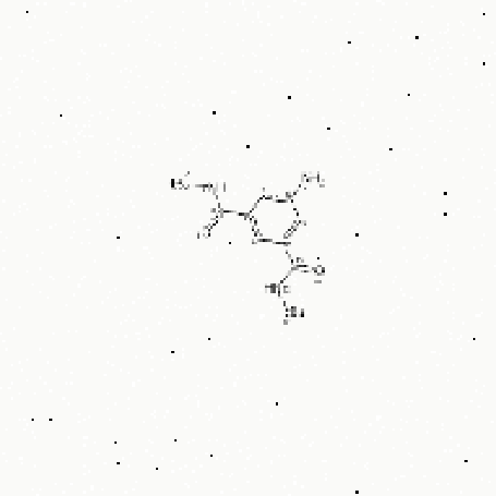 CC(C)(C)NC(=O)c1cc(N)cc(C(=O)NC(C)(C)C)c1